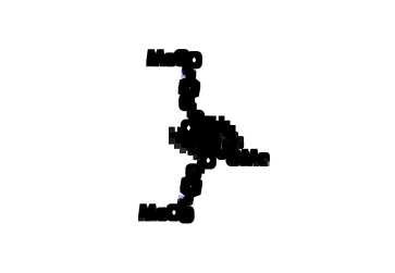 COC(=O)/C=C/c1ccc(OCCOC(=O)C(CC(=O)OC)CC(C)(C)C(C)(C)C(C)(C)C(=O)OCCOc2ccc(/C=C/C(=O)OC)cc2)cc1